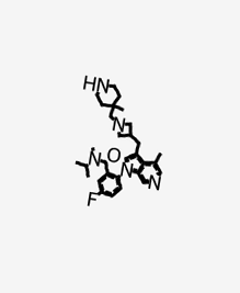 Cc1cncc2c1c(CC1CN(CC3(C)CCNCC3)C1)cn2-c1ccc(F)cc1C(=O)N(C)C(C)C